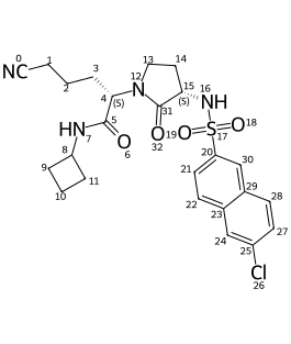 N#CCCC[C@@H](C(=O)NC1CCC1)N1CC[C@H](NS(=O)(=O)c2ccc3cc(Cl)ccc3c2)C1=O